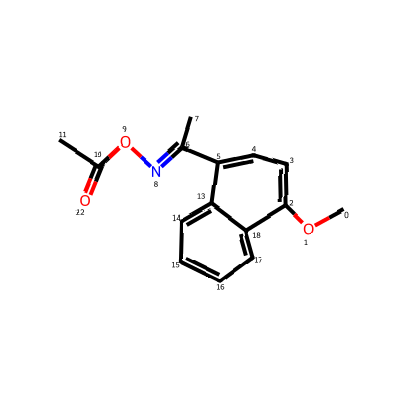 COc1ccc(C(C)=NOC(C)=O)c2ccccc12